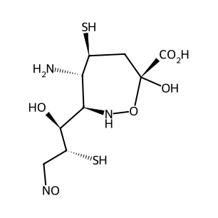 N[C@H]1[C@H]([C@H](O)[C@H](S)CN=O)NO[C@](O)(C(=O)O)C[C@@H]1S